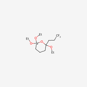 CCOC1(CCC(F)(F)F)CCC[Si](OCC)(OCC)O1